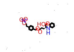 O=C(CC[C@H](Nc1ccccc1)C(=O)O)OCc1ccc(CCO[N+](=O)[O-])cc1